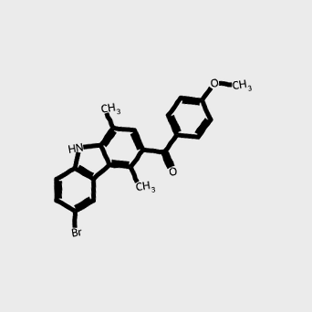 COc1ccc(C(=O)c2cc(C)c3[nH]c4ccc(Br)cc4c3c2C)cc1